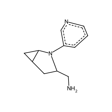 NCC1CC2CC2N1c1cccnc1